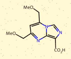 COCc1cc(COC)n2cnc(C(=O)O)c2n1